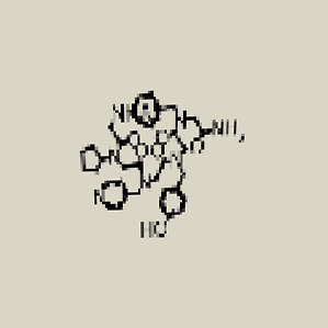 CC(=O)NCC(=O)N(CC(=O)N(CC(=O)N(CC(=O)N(CC(N)=O)Cc1ccccc1)Cc1ccc(O)cc1)Cc1ccncc1)C1CCCC1